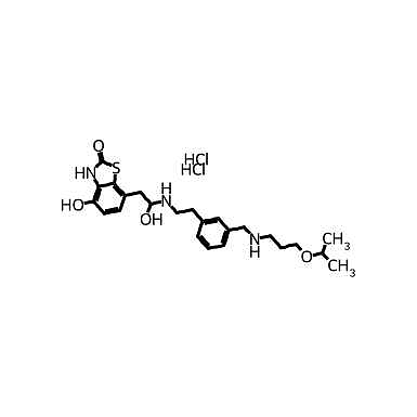 CC(C)OCCCNCc1cccc(CCNC(O)Cc2ccc(O)c3[nH]c(=O)sc23)c1.Cl.Cl